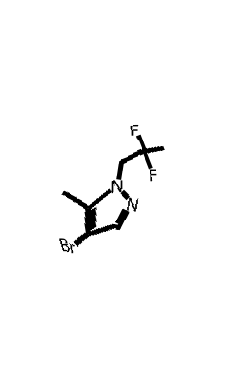 Cc1c(Br)cnn1CC(C)(F)F